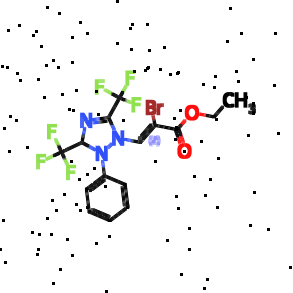 CCOC(=O)/C(Br)=C/N1C(C(F)(F)F)=NC(C(F)(F)F)N1c1ccccc1